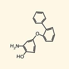 Nc1cc(Oc2ccccc2-c2ccccc2)ccc1O